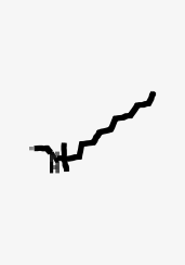 [CH2]CNC(C)(C)CCCCCCCCCC